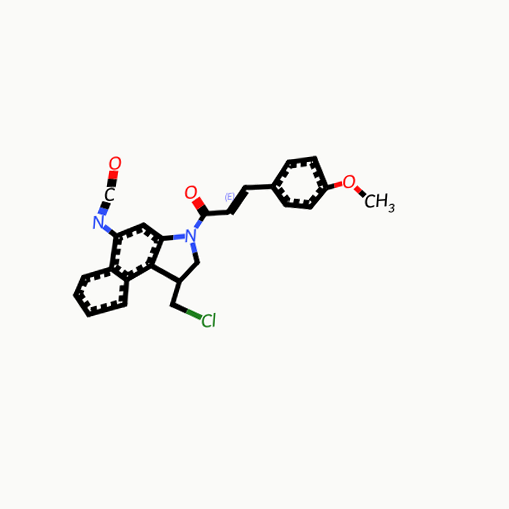 COc1ccc(/C=C/C(=O)N2CC(CCl)c3c2cc(N=C=O)c2ccccc32)cc1